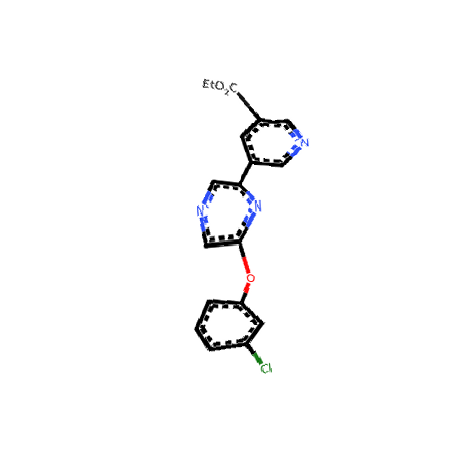 CCOC(=O)c1cncc(-c2cncc(Oc3cccc(Cl)c3)n2)c1